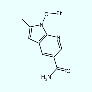 CCOn1c(C)cc2cc(C(N)=O)cnc21